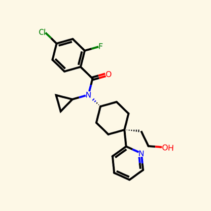 O=C(c1ccc(Cl)cc1F)N(C1CC1)[C@H]1CC[C@](CCO)(c2ccccn2)CC1